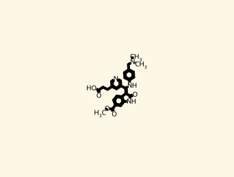 COC(=O)c1ccc2c(c1)NC(=O)/C2=C(\Nc1ccc(CN(C)C)cc1)c1cncc(CCC(=O)O)c1